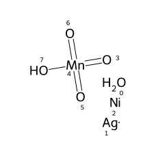 O.[Ag].[Ni].[O]=[Mn](=[O])(=[O])[OH]